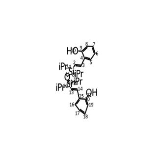 CC(C)[Si](C=Cc1ccccc1O)(O[Si](C=Cc1ccccc1O)(C(C)C)C(C)C)C(C)C